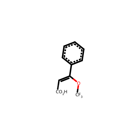 O=C(O)C=C(OC(F)(F)F)c1ccccc1